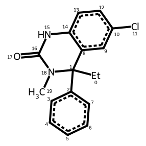 CCC1(c2ccccc2)c2cc(Cl)ccc2NC(=O)N1C